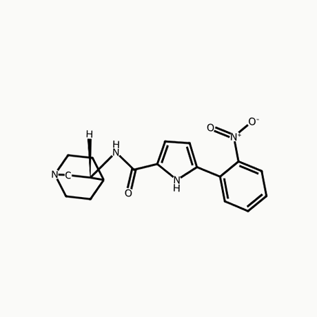 O=C(N[C@H]1CN2CCC1CC2)c1ccc(-c2ccccc2[N+](=O)[O-])[nH]1